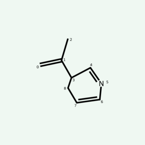 C=C(C)C1C=NC=CC1